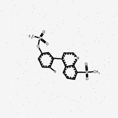 CS(=O)(=O)c1cccc2c(-c3cc(OS(=O)(=O)C(F)(F)F)ccc3F)ccnc12